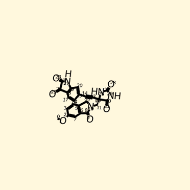 COc1ccc2c(c1)C(=O)N(C[C@@]1(C#Cc3ccc4c(c3)NC(=O)C4=O)NC(=O)NC1=O)C2